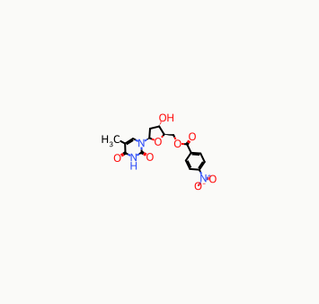 Cc1cn([C@H]2C[C@H](O)[C@@H](COC(=O)c3ccc([N+](=O)[O-])cc3)O2)c(=O)[nH]c1=O